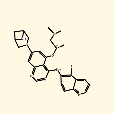 C[C@H](CN(C)C)Oc1cc(N2CC3CC(C2)N3)cc2ncnc(Nc3ccc4ncccc4c3F)c12